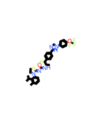 Cc1cccc(N2CCS/C2=N\C(=O)NC(C)C(F)c2ccc(-c3ncn(-c4ccc(OC(F)(F)F)cc4)n3)cc2)c1C(C)C